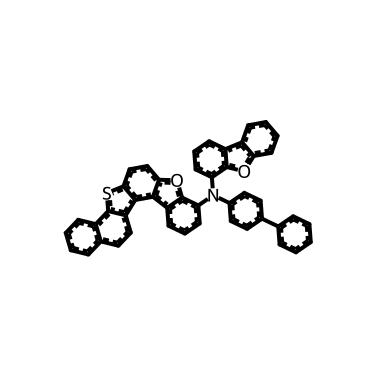 c1ccc(-c2ccc(N(c3cccc4c3oc3ccccc34)c3cccc4c3oc3ccc5sc6c7ccccc7ccc6c5c34)cc2)cc1